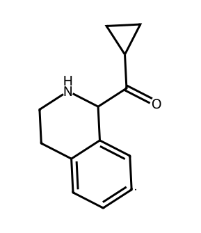 O=C(C1CC1)C1NCCc2cc[c]cc21